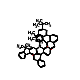 CC(C)(C)c1cc(-c2cccc3cccc(-c4ccccc4N(c4ccc5c(c4)C(C)(C)c4ccccc4-5)c4ccccc4-c4cccc5ccccc45)c23)cc(C(C)(C)C)c1